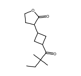 CCC(C)(C)C(=O)C1CC(C2CCOC2=O)C1